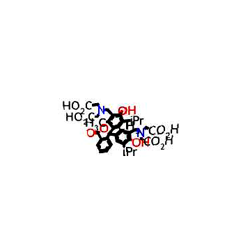 Cc1c(C2(c3cc(C(C)C)c(O)c(CN(CC(=O)O)CC(=O)O)c3C)OC(=O)c3ccccc32)cc(C(C)C)c(O)c1CN(CC(=O)O)CC(=O)O